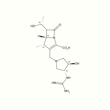 C[C@@H](O)C1C(=O)N2C(C(=O)O)=C(CN3C[C@@H](O)[C@H](NC(=N)N)C3)[C@H](C)[C@H]12